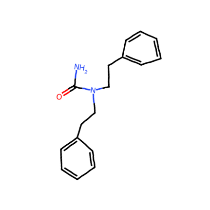 NC(=O)N(CCc1ccccc1)CCc1ccccc1